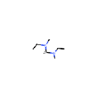 CC[N](C)[Zr][N](C)CC